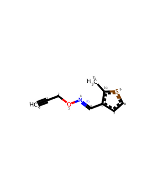 C#CCO/N=C/c1ccsc1C